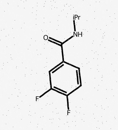 CC(C)NC(=O)c1ccc(F)c(F)c1